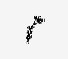 N#Cc1ccc(N2CCN(C(=O)CCOCCOc3cn[nH]c(=O)c3C#N)CC2)nc1